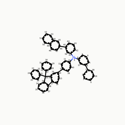 c1ccc(-c2cccc(N(c3ccc(-c4ccc5c(c4)C(c4ccccc4)(c4ccccc4)c4ccccc4-5)cc3)c3cccc(-c4ccc5ccccc5c4)c3)c2)cc1